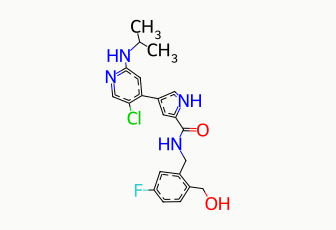 CC(C)Nc1cc(-c2c[nH]c(C(=O)NCc3cc(F)ccc3CO)c2)c(Cl)cn1